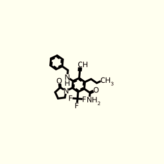 C#Cc1c(CCC)c(C(N)=O)c(C(F)(F)F)c(N2CCCC2=O)c1NCc1ccccc1